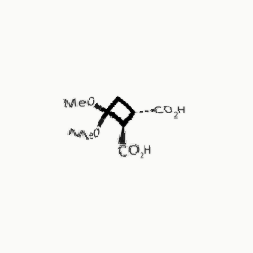 COC1(OC)C[C@H](C(=O)O)[C@H]1C(=O)O